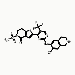 CS(=O)(=O)N1CCc2sc(-c3nc(Nc4cc5c(cc4Cl)CNCC5)ncc3C(F)(F)F)cc2C1=O